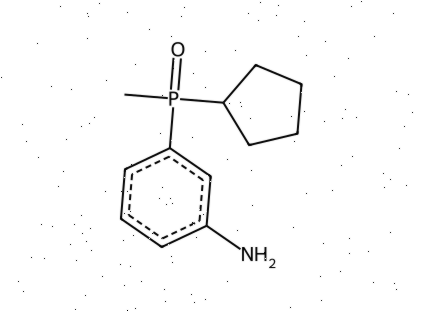 CP(=O)(c1cccc(N)c1)C1CCCC1